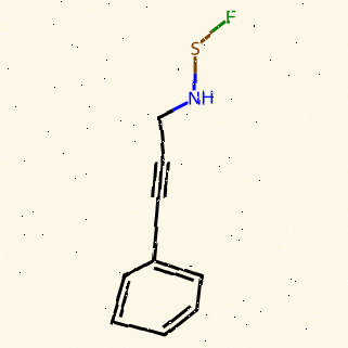 FSNCC#Cc1ccccc1